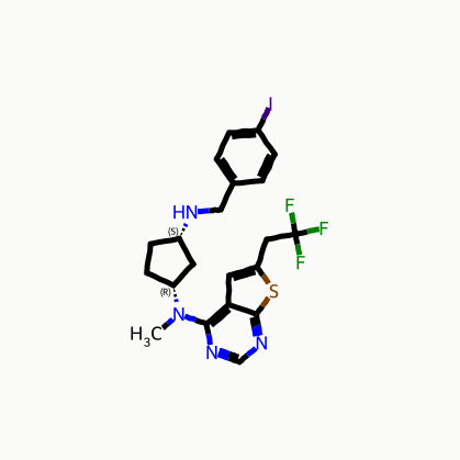 CN(c1ncnc2sc(CC(F)(F)F)cc12)[C@@H]1CC[C@H](NCc2ccc(I)cc2)C1